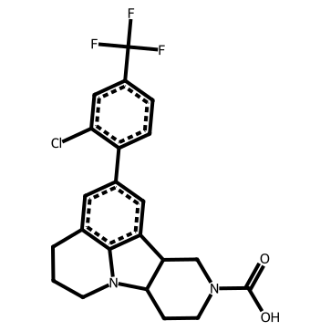 O=C(O)N1CCC2C(C1)c1cc(-c3ccc(C(F)(F)F)cc3Cl)cc3c1N2CCC3